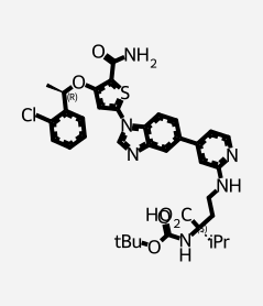 CC(C)[C@](CCNc1cc(-c2ccc3c(c2)ncn3-c2cc(O[C@H](C)c3ccccc3Cl)c(C(N)=O)s2)ccn1)(NC(=O)OC(C)(C)C)C(=O)O